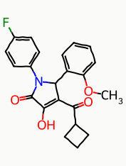 COc1ccccc1C1C(C(=O)C2CCC2)=C(O)C(=O)N1c1ccc(F)cc1